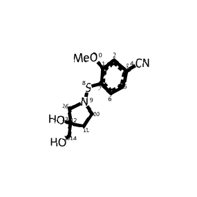 COc1cc(C#N)ccc1SN1CCC(O)(CO)C1